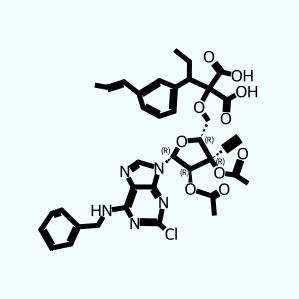 C#C[C@@]1(OC(C)=O)[C@@H](COC(C(=O)O)(C(=O)O)C(CC)c2cccc(C=CC)c2)O[C@@H](n2cnc3c(NCc4ccccc4)nc(Cl)nc32)[C@@H]1OC(C)=O